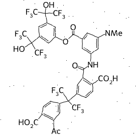 CNc1cc(NC(=O)c2cc(C(c3ccc(C(=O)O)c(C(C)=O)c3)(C(F)(F)F)C(F)(F)F)ccc2C(=O)O)cc(C(=O)Oc2cc(C(O)(C(F)(F)F)C(F)(F)F)cc(C(O)(C(F)(F)F)C(F)(F)F)c2)c1